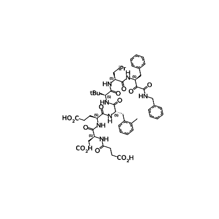 Cc1ccccc1C[C@H](NC(=O)[C@H](CCC(=O)O)NC(=O)[C@H](CC(=O)O)NC(=O)CCC(=O)O)C(=O)N[C@H](C(=O)N[C@@H](CC(C)C)C(=O)N[C@@H](Cc1ccccc1)C(=O)C(=O)NCc1ccccc1)C(C)(C)C